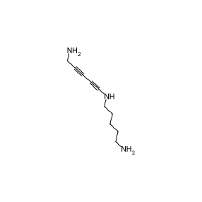 NCC#CC#CNCCCCCN